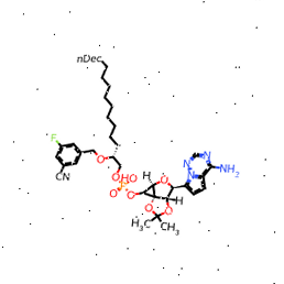 CCCCCCCCCCCCCCCCCCC[C@H](COP(=O)(O)OC1[C@H]2O[C@@H](c3ccc4c(N)ncnn34)[C@@H]3OC(C)(C)O[C@]123)OCc1cc(F)cc(C#N)c1